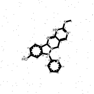 CSC1=NC=C2CN3C(N=C2N1)c1ccc(O)cc1N3c1ccccn1